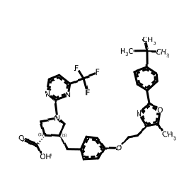 Cc1oc(-c2ccc(C(C)(C)C)cc2)nc1CCOc1ccc(C[C@@H]2CN(c3nccc(C(F)(F)F)n3)C[C@H]2C(=O)O)cc1